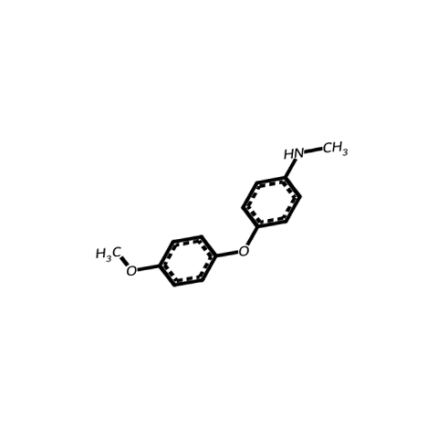 CNc1ccc(Oc2ccc(OC)cc2)cc1